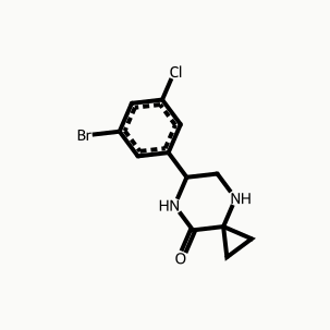 O=C1NC(c2cc(Cl)cc(Br)c2)CNC12CC2